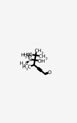 CC(C#CC=O)C(O)([SiH](C)C)C(C)(C)C